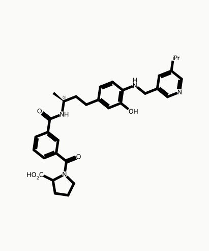 CC(C)c1cncc(CNc2ccc(CC[C@H](C)NC(=O)c3cccc(C(=O)N4CCCC4C(=O)O)c3)cc2O)c1